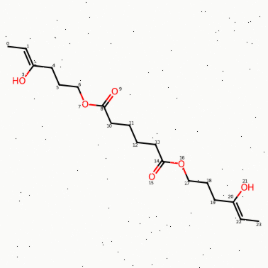 CC=C(O)CCCOC(=O)CCCCC(=O)OCCCC(O)=CC